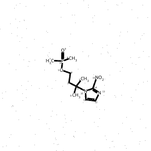 CC(C)(CCOP(C)(C)=O)n1ccnc1[N+](=O)[O-]